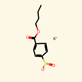 CCCCOC(=O)c1ccc(S(=O)[O-])cc1.[K+]